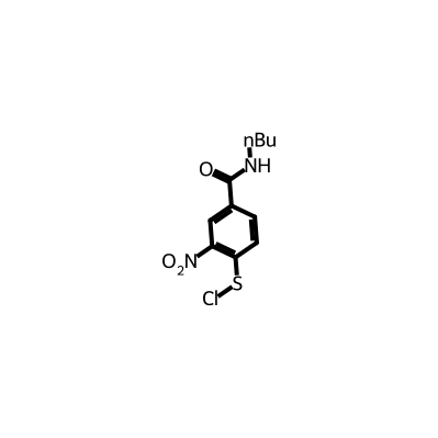 CCCCNC(=O)c1ccc(SCl)c([N+](=O)[O-])c1